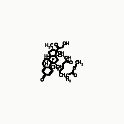 CCCCC(=O)O.CCOC(C)=O.C[C@H]1C[C@H]2[C@@H]3CCC4=CC(=O)C=C[C@]4(C)[C@@]3(F)[C@@H](O)C[C@]2(C)[C@@]1(O)C(=O)CO